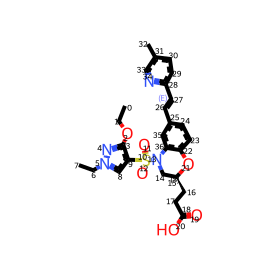 CCOc1nn(CC)cc1S(=O)(=O)N1C[C@H](CCC(=O)O)Oc2ccc(/C=C/c3ccc(C)cn3)cc21